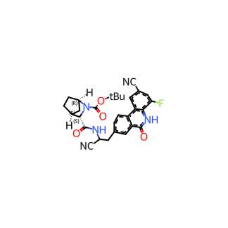 CC(C)(C)OC(=O)N1[C@@H]2CC[C@@H](C2)[C@H]1C(=O)NC(C#N)Cc1ccc2c(c1)c(=O)[nH]c1c(F)cc(C#N)cc12